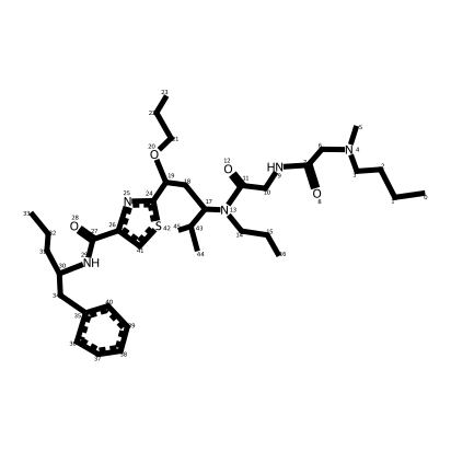 CCCCN(C)CC(=O)NCC(=O)N(CCC)C(CC(OCCC)c1nc(C(=O)NC(CCC)Cc2ccccc2)cs1)C(C)C